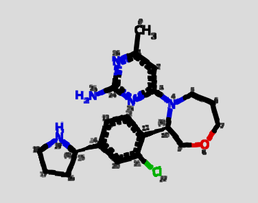 Cc1cc(N2CCCOC[C@H]2c2ccc([C@H]3CCCN3)cc2Cl)nc(N)n1